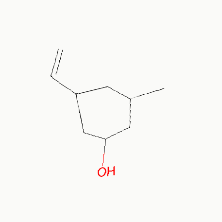 C=CC1CC(C)CC(O)C1